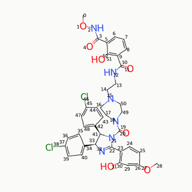 CONC(=O)c1cccc(C(=O)NCCN2CCN(C(=O)N3C(c4ccc(OC)cc4O)=N[C@@H](c4ccc(Cl)cc4)[C@H]3c3ccc(Cl)cc3)CC2)c1O